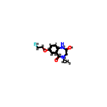 CN1CC(=O)Nc2ccc(OCCF)cc2C1=O